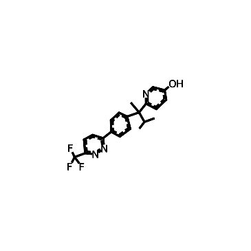 CC(C)C(C)(c1ccc(-c2ccc(C(F)(F)F)nn2)cc1)c1ccc(O)cn1